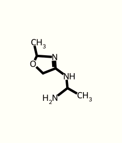 CC(N)NC1=NC(C)OC1